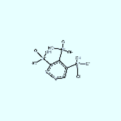 [O-][N+](O)(O)c1cnnc([N+]([O-])(O)O)c1[N+]([O-])(O)O